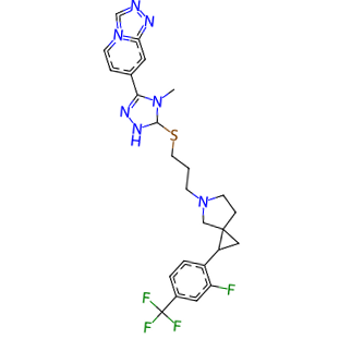 CN1C(c2ccn3cnnc3c2)=NNC1SCCCN1CCC2(CC2c2ccc(C(F)(F)F)cc2F)C1